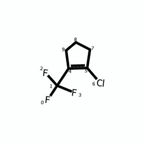 FC(F)(F)C1=C(Cl)CCC1